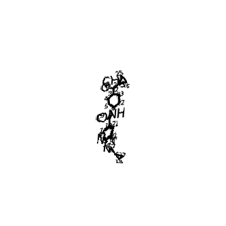 COC(C1CCC(NC(=O)c2cnc3nc(C4CC4)sc3c2)CC1)C1CC1